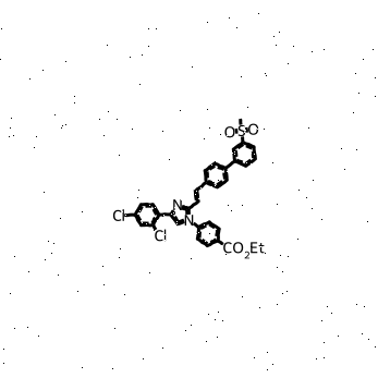 CCOC(=O)c1ccc(-n2cc(-c3ccc(Cl)cc3Cl)nc2C=Cc2ccc(-c3cccc(S(C)(=O)=O)c3)cc2)cc1